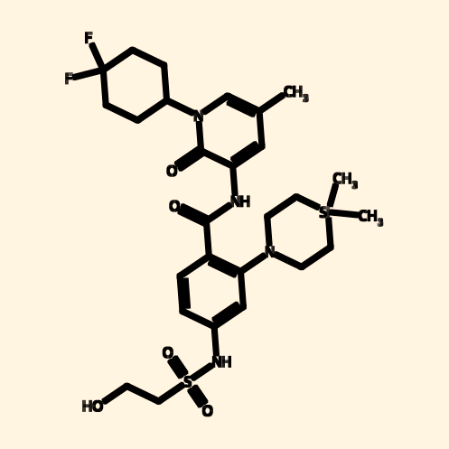 Cc1cc(NC(=O)c2ccc(NS(=O)(=O)CCO)cc2N2CC[Si](C)(C)CC2)c(=O)n(C2CCC(F)(F)CC2)c1